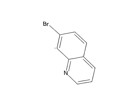 Brc1[c]c2ncccc2cc1